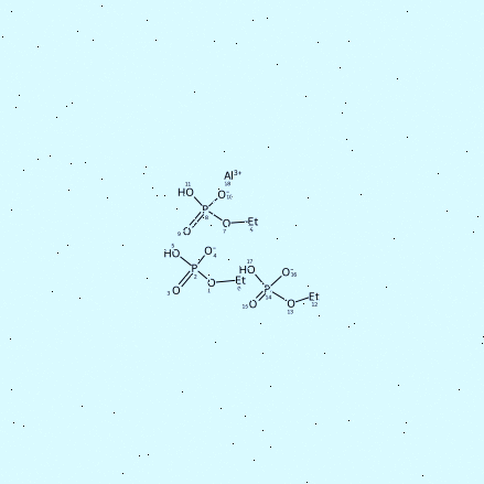 CCOP(=O)([O-])O.CCOP(=O)([O-])O.CCOP(=O)([O-])O.[Al+3]